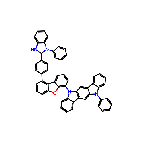 c1ccc(N2c3ccccc3NC2c2ccc(-c3cccc4oc5c(-n6c7ccccc7c7cc8c(cc76)c6ccccc6n8-c6ccccc6)cccc5c34)cc2)cc1